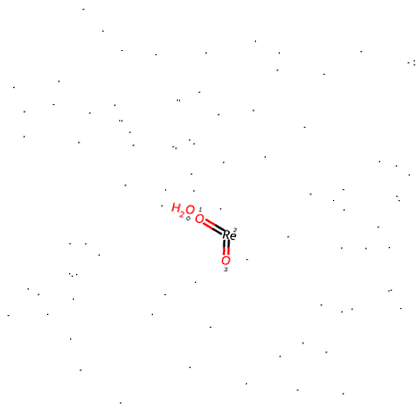 O.[O]=[Re]=[O]